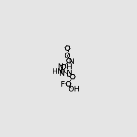 Oc1cc(F)cc(-c2cccc3[nH]c(-c4n[nH]c5ncc(-c6cncc(OCc7ccccc7)c6)cc45)cc23)c1